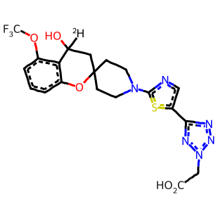 [2H]C1(O)CC2(CCN(c3ncc(-c4nnn(CC(=O)O)n4)s3)CC2)Oc2cccc(OC(F)(F)F)c21